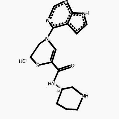 Cl.O=C(N[C@H]1CCCNC1)C1=CN(c2ncnc3[nH]ccc23)CCS1